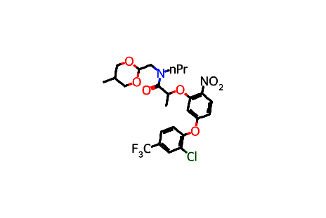 CCCN(CC1OCC(C)CO1)C(=O)C(C)Oc1cc(Oc2ccc(C(F)(F)F)cc2Cl)ccc1[N+](=O)[O-]